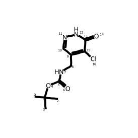 CC(C)(C)OC(=O)NCc1cn[nH]c(=O)c1Cl